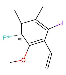 C=CC1=C(OC)[C@H](F)C(C)C(C)=C1I